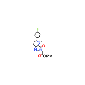 COC(=O)Cn1cnc2c(c1=O)N(C)C(c1ccc(F)cc1)CC2